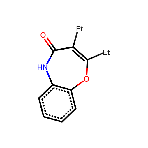 CCC1=C(CC)C(=O)Nc2ccccc2O1